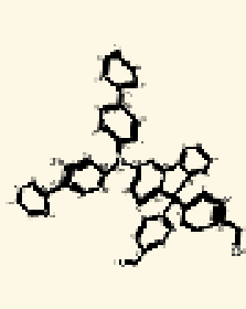 O=Cc1ccc(C2(c3ccc(C=O)cc3)c3ccccc3-c3cc(N(c4ccc(-c5ccccc5)cc4)c4ccc(-c5ccccc5)cc4)ccc32)cc1